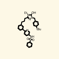 CCN1C(CCCc2cccc(-c3ccc(NS(=O)(=O)c4ccccc4)cn3)c2)=NN(Cc2ccc(C(C)(C)C)cc2)C1O